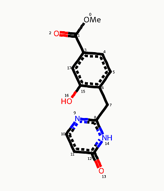 COC(=O)c1ccc(Cc2nccc(=O)[nH]2)c(O)c1